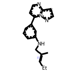 CC/C=C(\C)CNc1cccc(-c2ccnc3[c]cnn23)c1